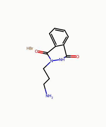 Br.NCCCn1[nH]c(=O)c2ccccc2c1=O